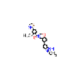 CCc1cc(C2=NCCS2)ccc1C(=O)N1CCOc2ccc(-c3ccc4nc(C)[nH]c4c3)cc2C1